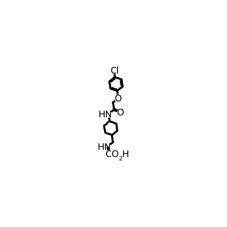 O=C(O)NCC1CCC(NC(=O)COc2ccc(Cl)cc2)CC1